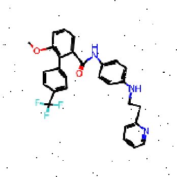 COc1cccc(C(=O)Nc2ccc(NCCc3ccccn3)cc2)c1-c1ccc(C(F)(F)F)cc1